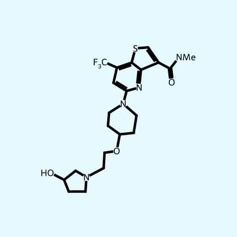 CNC(=O)c1csc2c(C(F)(F)F)cc(N3CCC(OCCN4CCC(O)C4)CC3)nc12